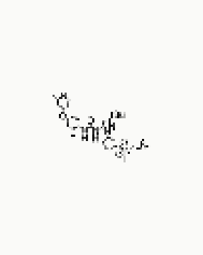 Cc1cc(Oc2ccc(NC(=O)Nc3cc(C(C)(C)C)nn3-c3cccc(S(=O)(=O)NCCN(C)C)c3)c(F)c2)ccn1